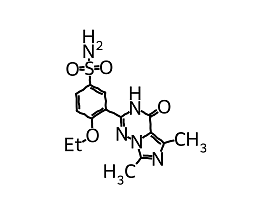 CCOc1ccc(S(N)(=O)=O)cc1-c1nn2c(C)nc(C)c2c(=O)[nH]1